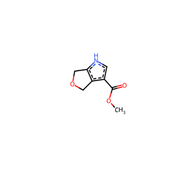 COC(=O)c1c[nH]c2c1COC2